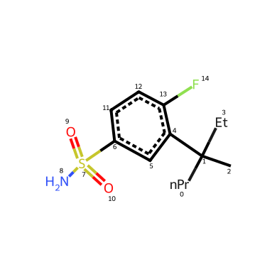 CCCC(C)(CC)c1cc(S(N)(=O)=O)ccc1F